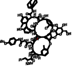 CCCCOc1ccc(NC(=O)NC(=O)C[C@@H]2NC(=O)[C@H](NC(=O)[C@@H](CC(C)C)NC)[C@H](O)c3ccc(c(C)c3)Oc3cc4cc(c3O[C@@H]3O[C@H](CO)[C@@H](O)[C@H](O)[C@H]3O)Oc3ccc(cc3Cl)[C@@H](O)[C@@H]3NC(=O)[C@@H](NC(=O)[C@@H]4NC2=O)c2ccc(O)c(c2)-c2c(C)cc(O)cc2[C@@H](C(=O)NC2C4CC5CC(C4)CC2C5)NC3=O)cc1